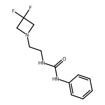 O=C(NCCN1CC(F)(F)C1)Nc1ccccc1